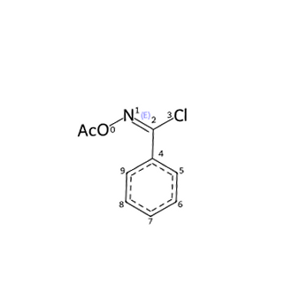 CC(=O)O/N=C(/Cl)c1ccccc1